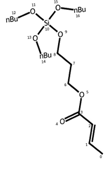 CC=CC(=O)OCCCO[Si](OCCCC)(OCCCC)OCCCC